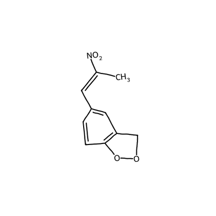 CC(=Cc1ccc2c(c1)COO2)[N+](=O)[O-]